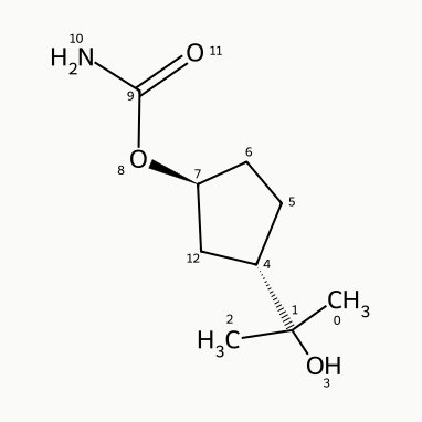 CC(C)(O)[C@H]1CC[C@H](OC(N)=O)C1